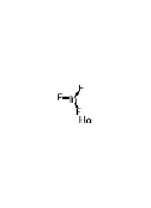 [F][In]([F])[F].[Ho]